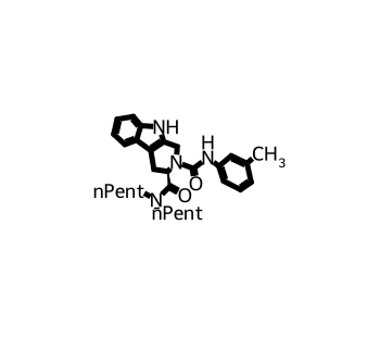 CCCCCN(CCCCC)C(=O)[C@H]1Cc2c([nH]c3ccccc23)CN1C(=O)Nc1cccc(C)c1